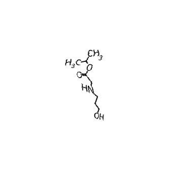 CC(C)OC(=O)CNCCCO